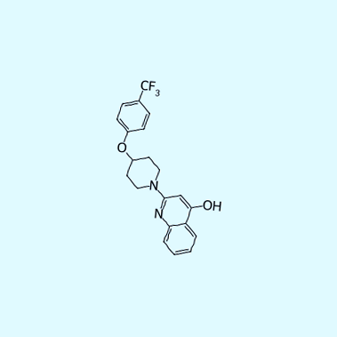 Oc1cc(N2CCC(Oc3ccc(C(F)(F)F)cc3)CC2)nc2ccccc12